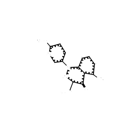 COc1ccc(-n2nc(C(=O)O)c(=O)c3c(C#N)cccc32)cn1